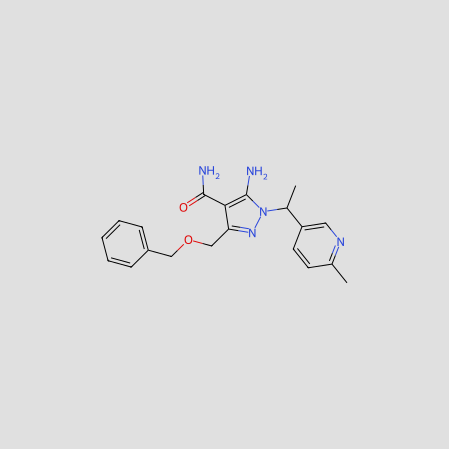 Cc1ccc(C(C)n2nc(COCc3ccccc3)c(C(N)=O)c2N)cn1